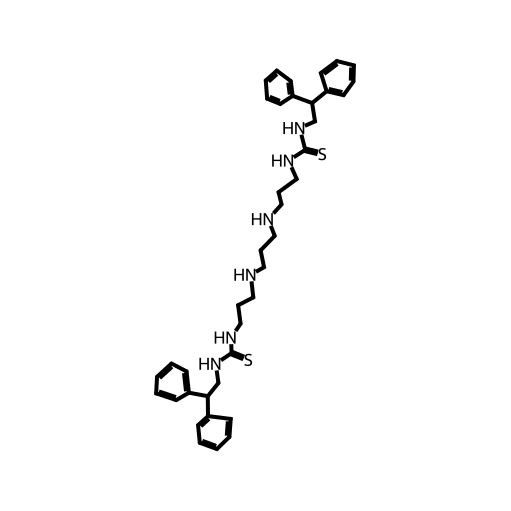 S=C(NCCCNCCCNCCCNC(=S)NCC(c1ccccc1)c1ccccc1)NCC(c1ccccc1)c1ccccc1